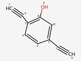 C#Cc1ccc(C#C)c(O)c1